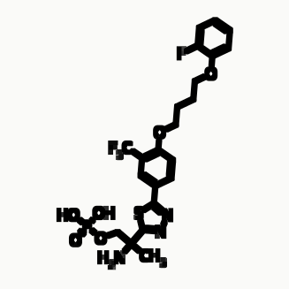 CC(N)(COP(=O)(O)O)c1nnc(-c2ccc(OCCCCOc3ccccc3F)c(C(F)(F)F)c2)s1